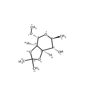 CO[C@@H]1O[C@@H](C)[C@H](O)[C@H]2OC(C)(C)O[C@@H]12